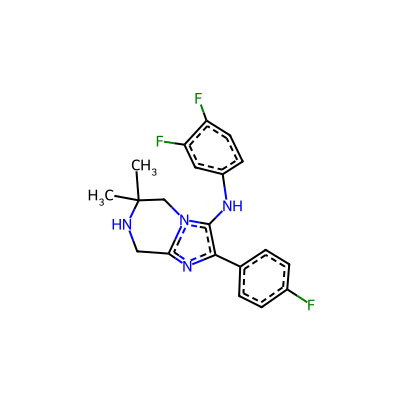 CC1(C)Cn2c(nc(-c3ccc(F)cc3)c2Nc2ccc(F)c(F)c2)CN1